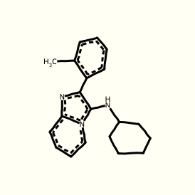 Cc1ccccc1-c1nc2ccccn2c1NC1CCCCC1